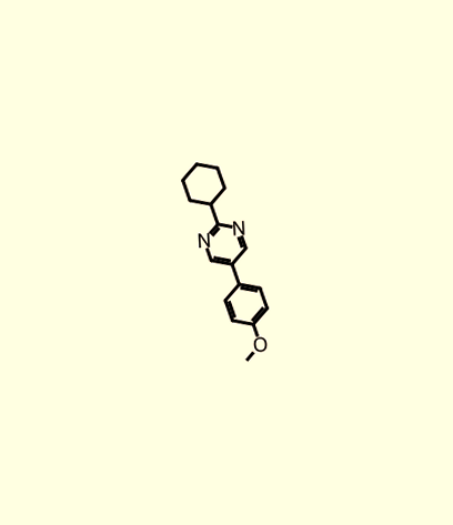 COc1ccc(-c2cnc(C3CCCCC3)nc2)cc1